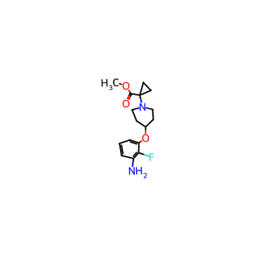 COC(=O)C1(N2CCC(Oc3cccc(N)c3F)CC2)CC1